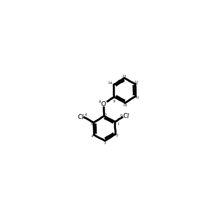 Clc1cccc(Cl)c1Oc1cc[c]cc1